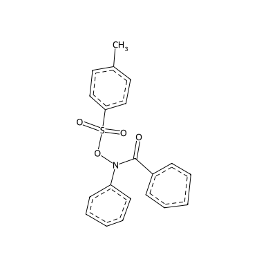 Cc1ccc(S(=O)(=O)ON(C(=O)c2ccccc2)c2ccccc2)cc1